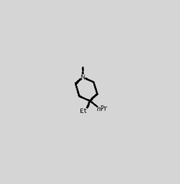 CCCC1(CC)CCN(C)CC1